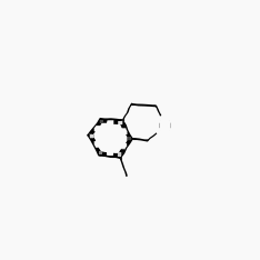 Cc1cccc2c1COC[C@H]2C